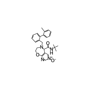 Cc1ccccc1-c1ccccc1CN1CCOc2nc[n+]([O-])cc2C1C(=O)NC(C)(C)C